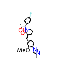 COc1cc(/C=C2\CCCN([C@H](c3ccc(F)cc3)[C@@H](C)O)C2=O)ccc1-n1cnc(C)c1